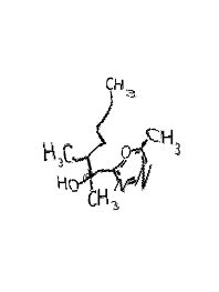 CCCCC(C)[C@@](C)(O)c1nnc(C)o1